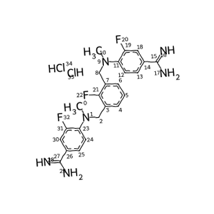 CN(Cc1cccc(CN(C)c2ccc(C(=N)N)cc2F)c1F)c1ccc(C(=N)N)cc1F.Cl.Cl